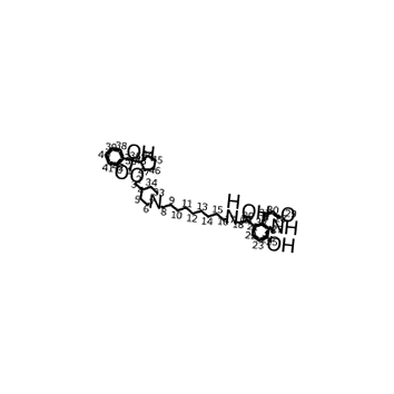 O=C(OCC1CCN(CCCCCCCCCNC[C@@H](O)c2ccc(O)c3[nH]c(=O)ccc23)CC1)C(O)(c1ccccc1)C1CCCC1